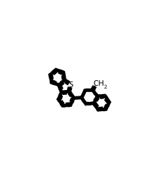 C=C1CC(c2cccc3c2sc2ccccc23)Cc2ccccc21